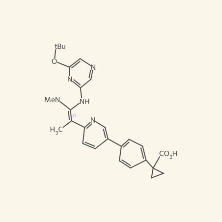 CN/C(Nc1cncc(OC(C)(C)C)n1)=C(\C)c1ccc(-c2ccc(C3(C(=O)O)CC3)cc2)cn1